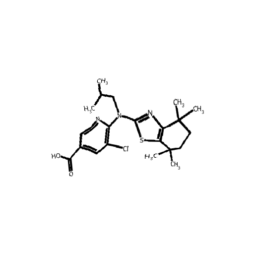 CC(C)CN(c1nc2c(s1)C(C)(C)CCC2(C)C)c1ncc(C(=O)O)cc1Cl